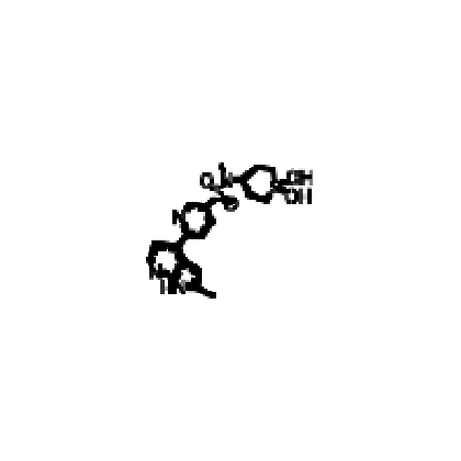 Cc1cc2c(-c3ccc(S(=O)(=O)N(C)C4CCS(O)(O)CC4)cn3)ccnc2[nH]1